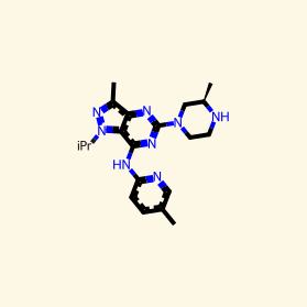 Cc1ccc(Nc2nc(N3CCN[C@H](C)C3)nc3c(C)nn(C(C)C)c23)nc1